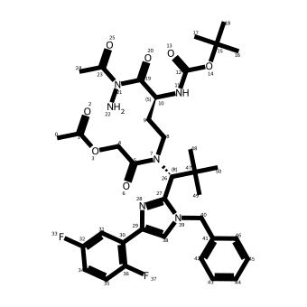 CC(=O)OCC(=O)N(CC[C@H](NC(=O)OC(C)(C)C)C(=O)N(N)C(C)=O)[C@@H](c1nc(-c2cc(F)ccc2F)cn1Cc1ccccc1)C(C)(C)C